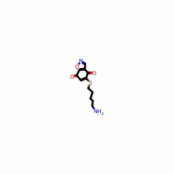 NCCCCCSC1=CC(=O)c2oncc2C1=O